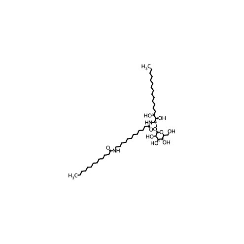 CCCCCCCCCCCCCC[C@@H](O)[C@@H](O)[C@H](CO[C@H]1OC(CO)[C@H](O)[C@H](O)C1O)NC(=O)CCCCCCCCCCCNC(=O)CCCCCCCCCCCC